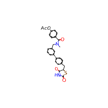 CC(=O)Oc1ccc(C(=O)N(C)Cc2cccc(-c3ccc(CC4SC(=O)NC4=O)cc3)c2)cc1